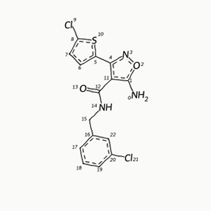 Nc1onc(-c2ccc(Cl)s2)c1C(=O)NCc1cccc(Cl)c1